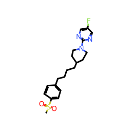 CS(=O)(=O)c1ccc(CCCCC2CCN(c3ncc(F)cn3)CC2)cc1